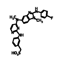 CN(c1ccc2c(c1)nc(Nc1ccc(F)cc1)n2C)c1ccnc(Nc2cccc(CS(=O)(=O)O)c2)n1